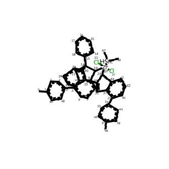 Cc1ccc(-c2cccc3c2C=C(c2ccccc2)[CH]3[Zr]([Cl])([Cl])([CH]2C(c3ccccc3)=Cc3c(-c4ccc(C)cc4)cccc32)[SiH](C)C)cc1